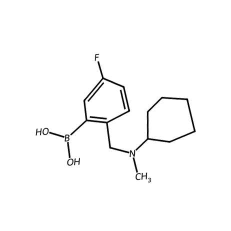 CN(Cc1ccc(F)cc1B(O)O)C1CCCCC1